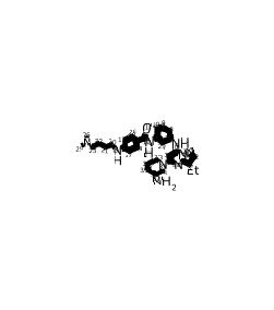 CCc1cnn2c(Nc3cccc(NC(=O)c4ccc(NC/C=C/CN(C)C)cc4)c3)cc(N3CCCC(N)C3)nc12